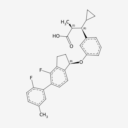 Cc1ccc(F)c(-c2ccc3c(c2F)CC[C@H]3Oc2cccc([C@H](C3CC3)[C@H](C)C(=O)O)c2)c1